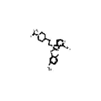 COc1ccc(I)c(Sc2nc3c(N)nccc3n2CCC2CCN(C(C)=O)CC2)c1